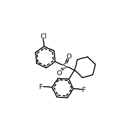 O=S(=O)(c1cccc(Cl)c1)C1(c2cc(F)ccc2F)CCCCC1